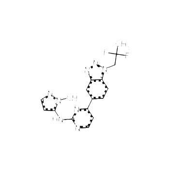 Cn1nccc1Nc1nccc(-c2ccc3c(c2)nnn3CC(C)(F)F)n1